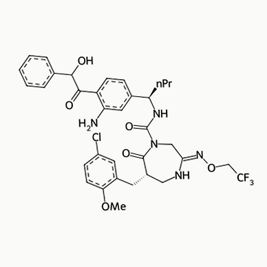 CCC[C@@H](NC(=O)N1CC(=NOCC(F)(F)F)NC[C@H](Cc2cc(Cl)ccc2OC)C1=O)c1ccc(C(=O)C(O)c2ccccc2)c(N)c1